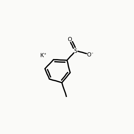 Cc1cccc(S(=O)[O-])c1.[K+]